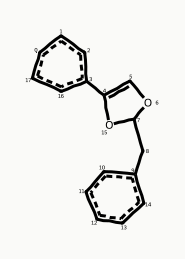 [c]1ccc(C2=COC(Cc3ccccc3)O2)cc1